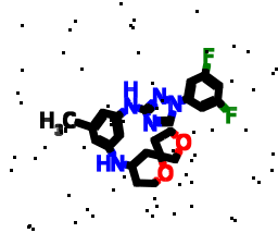 Cc1cc(Nc2ncn(-c3cc(F)cc(F)c3)n2)cc(NC2CCOC3(CCOC3)C2)c1